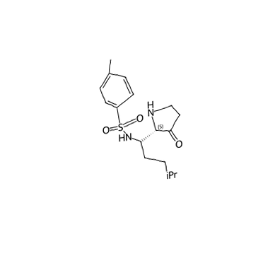 Cc1ccc(S(=O)(=O)NC(CCC(C)C)[C@@H]2NCCC2=O)cc1